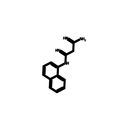 N=C(N)CC(=N)Nc1cccc2ccccc12